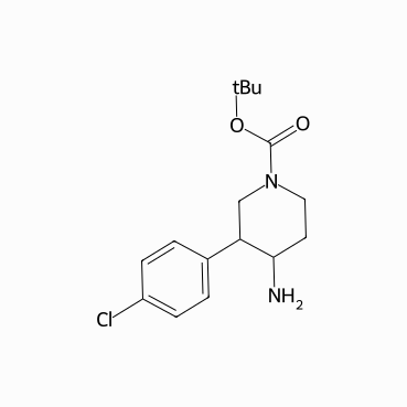 CC(C)(C)OC(=O)N1CCC(N)C(c2ccc(Cl)cc2)C1